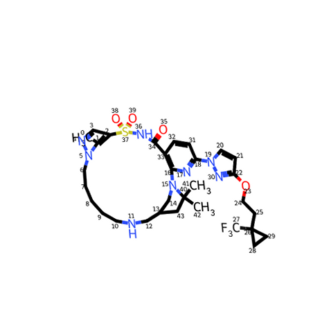 Cc1c2cnn1CCCCCNCC1CN(c3nc(-n4ccc(OCCC5(C(F)(F)F)CC5)n4)ccc3C(=O)NS2(=O)=O)C(C)(C)C1